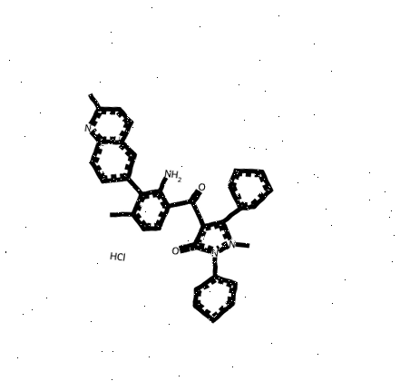 Cc1ccc2cc(-c3c(C)ccc(C(=O)c4c(-c5ccccc5)n(C)n(-c5ccccc5)c4=O)c3N)ccc2n1.Cl